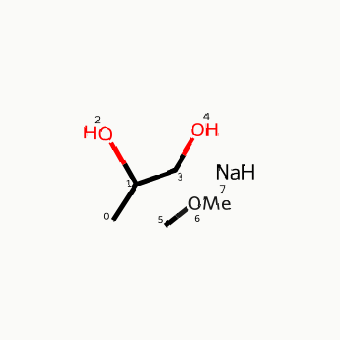 CC(O)CO.COC.[NaH]